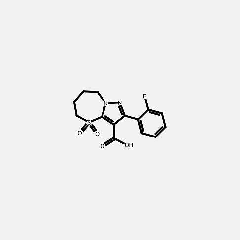 O=C(O)c1c(-c2ccccc2F)nn2c1S(=O)(=O)CCCC2